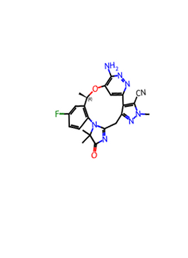 C[C@H]1Oc2cc(nnc2N)-c2c(nn(C)c2C#N)CC2=NC(=O)C(C)(C)N2c2ccc(F)cc21